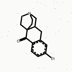 CCc1ccc2c(c1)CC1CN3CCC1(CC3)C2=O